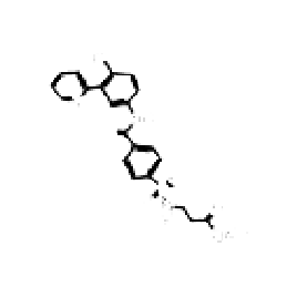 COC(=O)CCNS(=O)(=O)c1ccc(C(=O)Nc2ccc(Cl)c(-c3ccccn3)c2)cc1